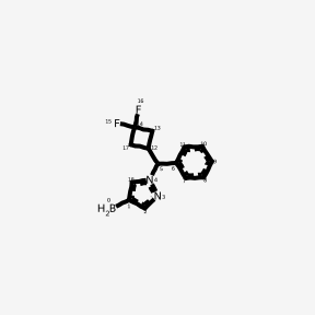 Bc1cnn(C(c2ccccc2)C2CC(F)(F)C2)c1